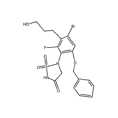 O=C1CN(c2c(OCc3ccccc3)cc(Br)c(CCCO)c2F)S(=O)(=O)N1